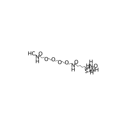 C#CNC(=O)CCOCCOCCOCCOCCNC(=O)CCCC[C@@H]1SC[C@@H]2NC(=O)N[C@@H]21